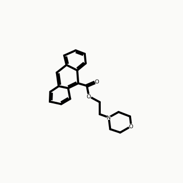 O=C(OCCN1CCOCC1)c1c2ccccc2cc2ccccc12